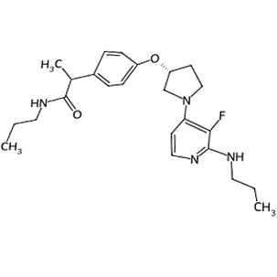 CCCNC(=O)C(C)c1ccc(O[C@@H]2CCN(c3ccnc(NCCC)c3F)C2)cc1